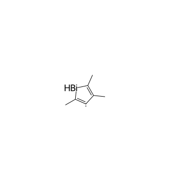 C[C]1=[C]C(C)=[C](C)[BiH]1